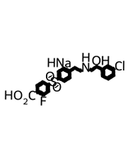 O=C(O)c1ccc(S(=O)(=O)c2ccc(CCNC[C@@H](O)c3cccc(Cl)c3)cc2)cc1F.[NaH]